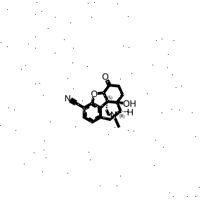 CN1CC[C@]23c4c5ccc(C#N)c4OC2C(=O)CCC3(O)[C@H]1C5